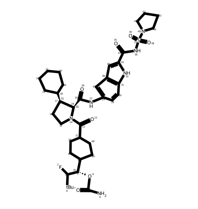 CC(C)(C)C(F)[C@@H](OC(N)=O)C1CCC(C(=O)N2CC[C@@H](C3CCCCC3)[C@H]2C(=O)Nc2ccc3[nH]c(C(=O)NS(=O)(=O)N4CCCC4)cc3c2)CC1